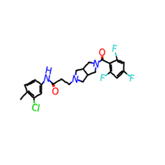 Cc1ccc(NC(=O)CCN2CC3CN(C(=O)c4c(F)cc(F)cc4F)CC3C2)cc1Cl